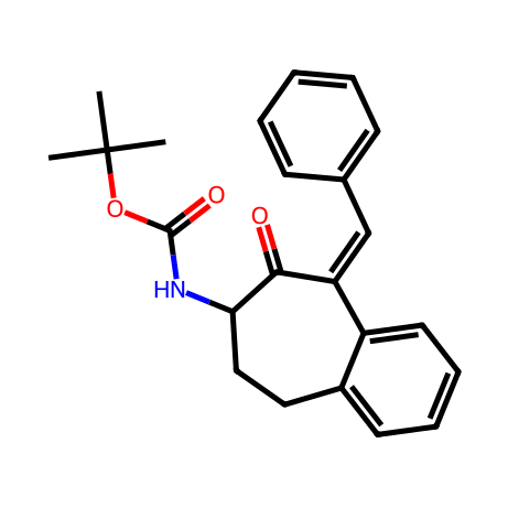 CC(C)(C)OC(=O)NC1CCc2ccccc2C(=Cc2ccccc2)C1=O